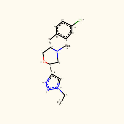 CCC(C)N1C[C@H](c2cn(CC(F)(F)F)nn2)OC[C@@H]1Cc1ccc(Cl)cc1